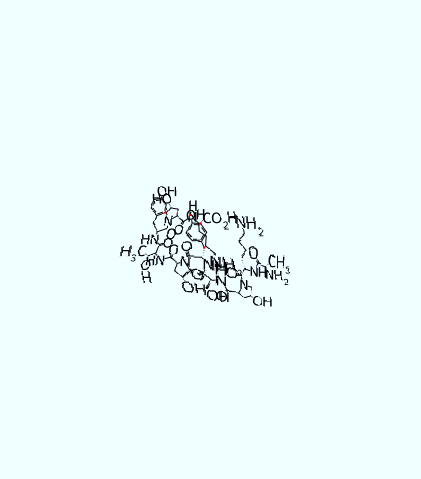 C[C@H](N)C(=O)N[C@@H](CCCCN)C(=O)N1C[C@H](O)C[C@H]1C(=O)N[C@@H](CO)C(=O)N[C@@H](Cc1ccc(O)cc1)C(=O)N1C[C@H](O)C[C@H]1C(=O)N[C@H](C(=O)N[C@@H](Cc1ccc(O)cc1)C(=O)N1C[C@H](O)C[C@H]1C(=O)N[C@@H](CCCCN)C(=O)O)[C@@H](C)O